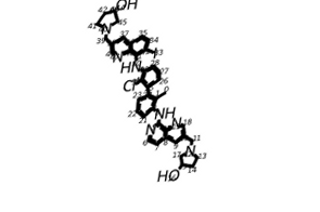 Cc1c(Nc2nccc3cc(CN4CCC(O)C4)cnc23)cccc1-c1cccc(Nc2c(I)ccc3cc(CN4CC[C@@H](O)C4)cnc23)c1Cl